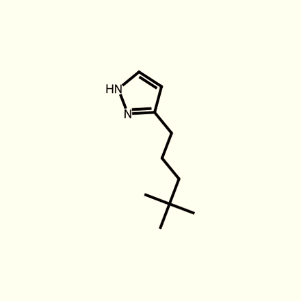 CC(C)(C)CCCc1cc[nH]n1